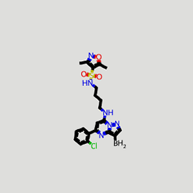 Bc1cnn2c(NCCCCNS(=O)(=O)c3c(C)noc3C)cc(-c3ccccc3Cl)nc12